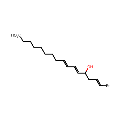 CCC=CCC(O)C=CC=CCCCCCCCC(=O)O